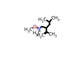 C=C(C)C(CC(C)C)CN(C)OC